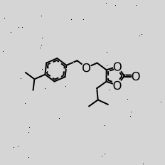 CC(C)Cc1oc(=O)oc1COCc1ccc(C(C)C)cc1